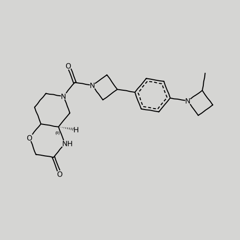 CC1CCN1c1ccc(C2CN(C(=O)N3CCC4OCC(=O)N[C@@H]4C3)C2)cc1